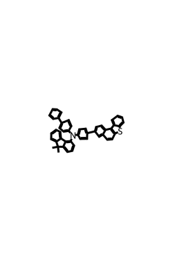 CC1(C)c2ccccc2-c2c(N(c3ccc(-c4ccccc4)cc3)c3ccc(-c4ccc5c(ccc6sc7ccccc7c65)c4)cc3)cccc21